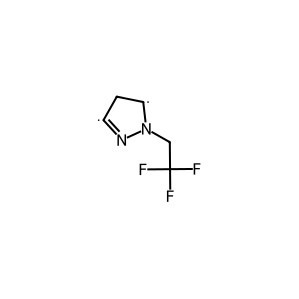 FC(F)(F)CN1[CH]C[C]=N1